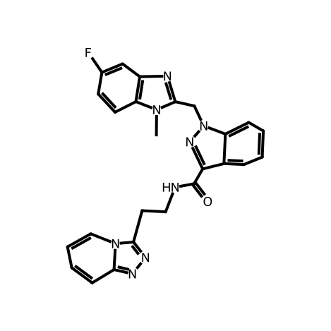 Cn1c(Cn2nc(C(=O)NCCc3nnc4ccccn34)c3ccccc32)nc2cc(F)ccc21